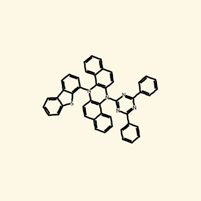 c1ccc(-c2nc(-c3ccccc3)nc(N3c4ccc5ccccc5c4N(c4cccc5c4sc4ccccc45)c4ccc5ccccc5c43)n2)cc1